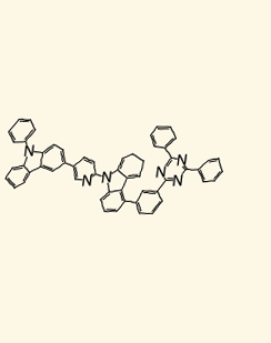 C1=c2c(n(-c3ccc(-c4ccc5c(c4)c4ccccc4n5-c4ccccc4)cn3)c3cccc(-c4cccc(-c5nc(-c6ccccc6)nc(-c6ccccc6)n5)c4)c23)=CCC1